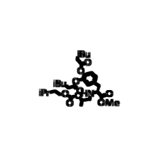 CCC(C)CC(=O)Oc1ccc(C[C@H](NCC(C)OC(=O)OCCC(C)C)C(=O)OC)cc1OC(=O)CC(C)CC